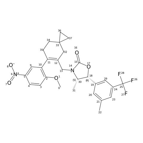 COc1ccc([N+](=O)[O-])cc1C1=C(CN2C(=O)O[C@H](c3cc(C)cc(C(F)(F)F)c3)[C@@H]2C)CC2(CC1)CC2